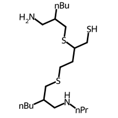 CCCCC(CNCCC)CSCCC(CS)SCC(CN)CCCC